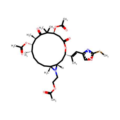 CSc1nc(/C=C(\C)[C@@H]2C[C@@H]3N(CCOC(C)=O)[C@]3(C)CCC[C@H](C)[C@H](OC(C)=O)[C@@H](C)C(=O)C(C)(C)[C@@H](OC(C)=O)CC(=O)O2)co1